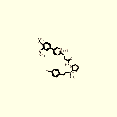 COc1ccc(-c2cnc(SCC(=O)N[C@@H]3CCC[C@H]3N(C)CCc3ccc(Cl)cc3)nc2)cc1OC.Cl